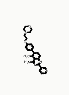 Cc1c(-c2ccc(OCCN3CCOCC3)cc2)ccc2nc(-c3cccnc3)nc(N)c12